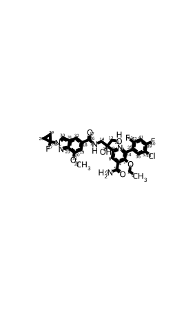 CCOc1c(C(N)=O)cc([C@](O)(CO)CNC(=O)c2cc(OC)c3nn(C4(F)CC4)cc3c2)nc1-c1cc(Cl)c(F)cc1F